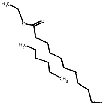 CCCCCC.CCCCCCCCCCC(=O)OCC